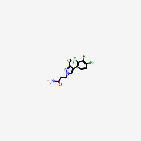 NC(=O)CCn1cc(-c2ccc(Br)c(F)c2F)c(C(F)(F)F)n1